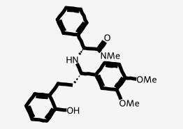 CNC(=O)[C@H](N[C@@H](CCc1ccccc1O)c1ccc(OC)c(OC)c1)c1ccccc1